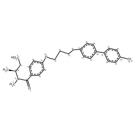 C[C@@H](CC(=O)O)N(C)C(=O)c1ccc(OCCCCc2ccc(-c3ccc(C(F)(F)F)cc3)cc2)cc1